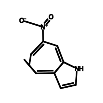 C/C=c1/cc[nH]/c1=C/C(=C\C)[N+](=O)[O-]